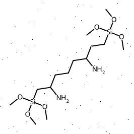 CO[Si](CCC(N)CCCC(N)C[Si](OC)(OC)OC)(OC)OC